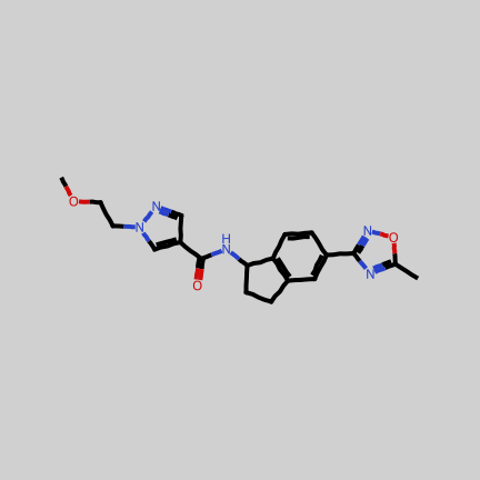 COCCn1cc(C(=O)NC2CCc3cc(-c4noc(C)n4)ccc32)cn1